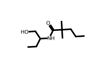 CCCC(C)(C)C(=O)NC(CC)CO